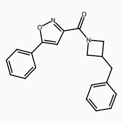 O=C(c1cc(-c2ccccc2)on1)N1CC(Cc2ccccc2)C1